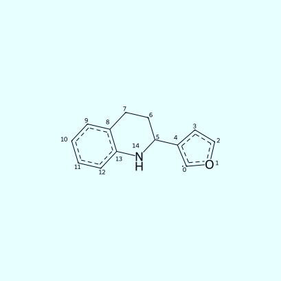 [c]1occc1C1CCc2ccccc2N1